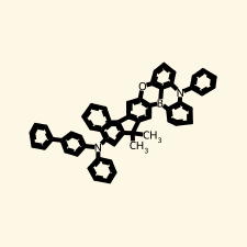 CC1(C)c2cc3c(cc2-c2c1cc(N(c1ccccc1)c1ccc(-c4ccccc4)cc1)c1ccccc21)Oc1cccc2c1B3c1ccccc1N2c1ccccc1